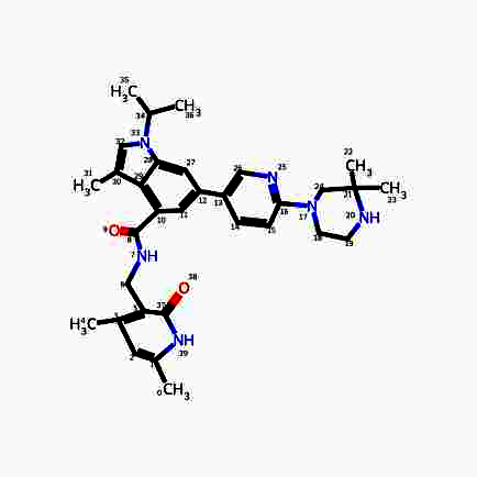 Cc1cc(C)c(CNC(=O)c2cc(-c3ccc(N4CCNC(C)(C)C4)nc3)cc3c2c(C)cn3C(C)C)c(=O)[nH]1